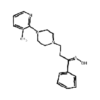 Cc1cccnc1N1CCN(CCC(=NO)c2ccccc2)CC1